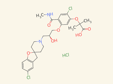 CNC(=O)c1cc(Cl)c(OC(C)(C)C(=O)O)cc1OC[C@@H](O)CN1CCC2(CC1)Cc1cc(Cl)ccc1O2.Cl